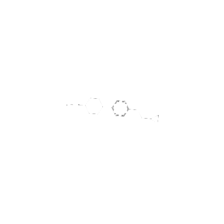 CCCCC[C@H]1CC[C@H](c2ccc(OCC3CO3)cc2)CC1